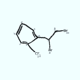 FC(F)(F)c1ccccc1C(Br)CBr